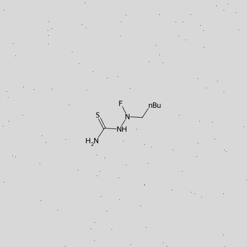 CCCCCN(F)NC(N)=S